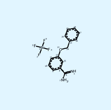 F[B-](F)(F)F.N=C(N)c1cccc(OCc2ccccc2)c1